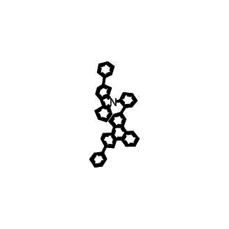 c1ccc(-c2ccc3c4ccc(-c5ccccc5-n5c6ccccc6c6ccc(-c7ccccc7)cc65)cc4c4ccccc4c3c2)cc1